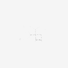 O=C(O)C(C(=O)O)C1(C(C(=O)O)C(=O)O)CCC1